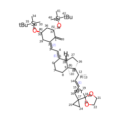 C=C1/C(=C\C=C2/CCC[C@]3(C)[C@@H]([C@H](C)/C=C/CC4(C5(CCC)OCCO5)CC4)CC[C@@H]23)C[C@@H](O[Si](C)(C)C(C)(C)C)C[C@@H]1O[Si](C)(C)C(C)(C)C